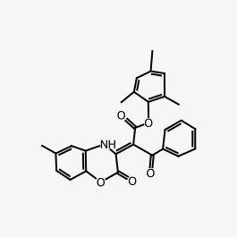 Cc1cc(C)c(OC(=O)C(C(=O)c2ccccc2)=C2Nc3cc(C)ccc3OC2=O)c(C)c1